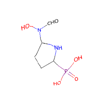 O=CN(O)C1CCC(P(=O)(O)O)N1